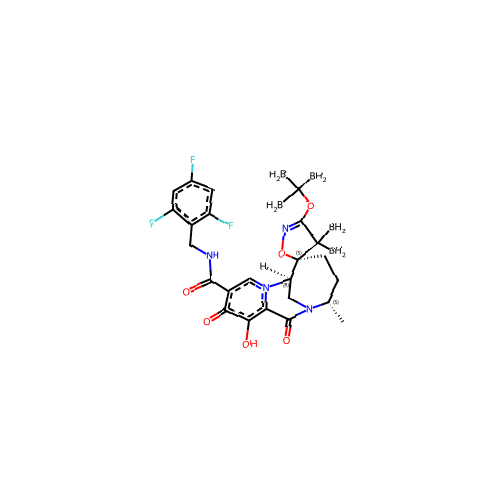 BC(B)(B)OC1=NO[C@@]2(CC[C@H](C)N3C[C@H]2n2cc(C(=O)NCc4c(F)cc(F)cc4F)c(=O)c(O)c2C3=O)C1(B)B